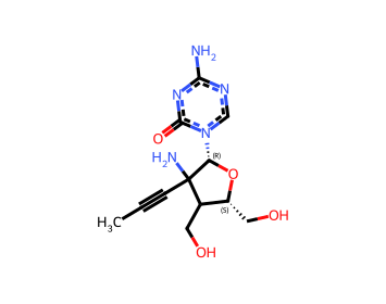 CC#CC1(N)C(CO)[C@@H](CO)O[C@H]1n1cnc(N)nc1=O